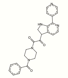 O=C(C(=O)N1CCN(C(=O)c2ccccc2)CC1)C1CNc2c1ccnc2-c1ccncc1